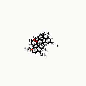 CC1CCC(C(C)C)C(C2(C3CC(C)CCC3C(C)C)C[CH]CC(C3CC(C)CCC3C(C)C)(C3CC(C)CCC3C(C)C)N2)C1